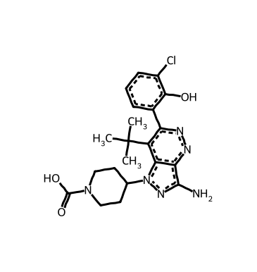 CC(C)(C)c1c(-c2cccc(Cl)c2O)nnc2c(N)nn(C3CCN(C(=O)O)CC3)c12